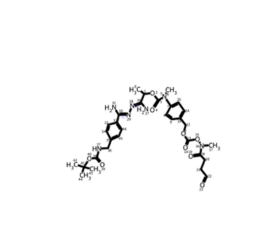 CC(OC(=O)N(C)c1ccc(COC(=O)ON(C)C(=O)CCC=O)cc1)/C(N)=N/N=C(\N)c1ccc(CNC(=O)OC(C)(C)C)cc1